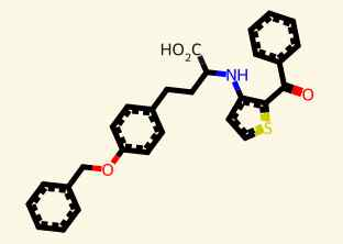 O=C(c1ccccc1)c1sccc1NC(CCc1ccc(OCc2ccccc2)cc1)C(=O)O